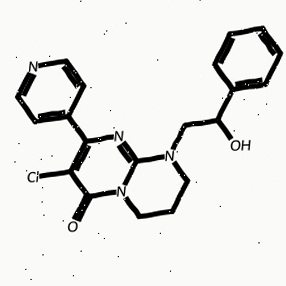 O=c1c(Cl)c(-c2ccncc2)nc2n1CCCN2CC(O)c1ccccc1